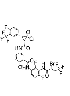 O=C(Nc1ccc(F)c(NC(=O)C(Br)CC(F)(F)F)c1F)c1cc(NC(=O)[C@H]2[C@H](c3ccc(F)c(C(F)(F)F)c3)C2(Cl)Cl)ccc1Cl